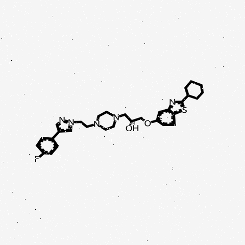 O[C@H](COc1ccc2sc(C3CCCCC3)nc2c1)CN1CCN(CCn2cc(-c3ccc(F)cc3)cn2)CC1